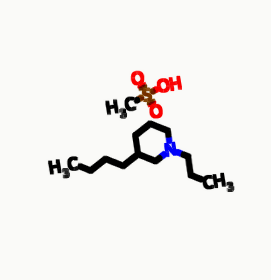 CCCCC1CCCN(CCC)C1.CS(=O)(=O)O